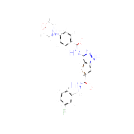 O=C(Nc1n[nH]c2cc(C(=O)NCc3cccc(F)c3)sc12)c1ccc(N2CCOCC2)cc1